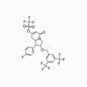 C[C@@H](OC1CN2C(=O)C=C(OS(=O)(=O)C(F)(F)F)CC2C1c1ccc(F)cc1)c1cc(C(F)(F)F)cc(C(F)(F)F)c1